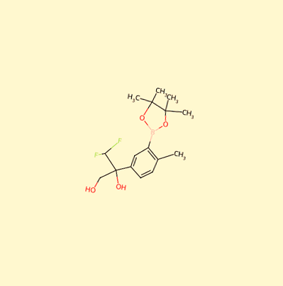 Cc1ccc(C(O)(CO)C(F)F)cc1B1OC(C)(C)C(C)(C)O1